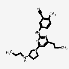 CCCN[C@H]1CCN(c2cc(CCC)nc(Nc3ccc(C)c(C#N)c3)n2)C1